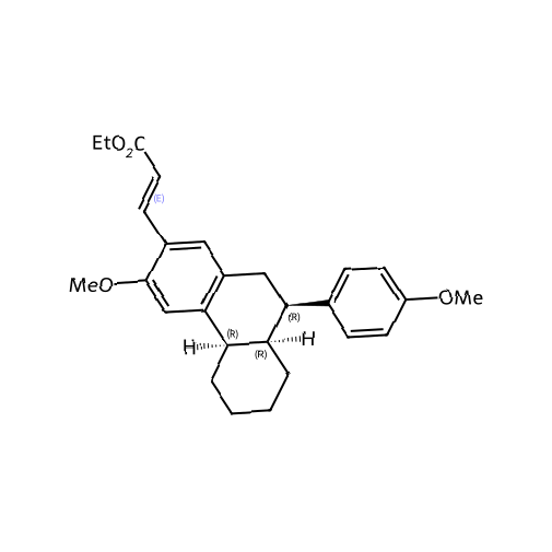 CCOC(=O)/C=C/c1cc2c(cc1OC)[C@@H]1CCCC[C@@H]1[C@H](c1ccc(OC)cc1)C2